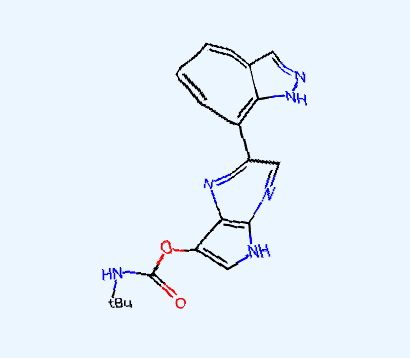 CC(C)(C)NC(=O)Oc1c[nH]c2ncc(-c3cccc4cn[nH]c34)nc12